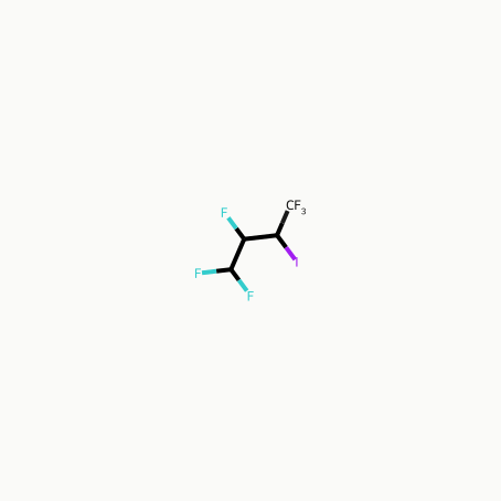 FC(F)C(F)C(I)C(F)(F)F